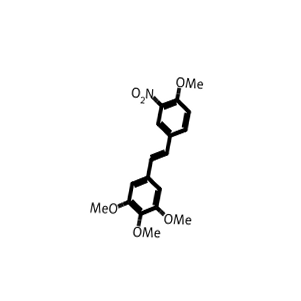 COc1ccc(C=Cc2cc(OC)c(OC)c(OC)c2)cc1[N+](=O)[O-]